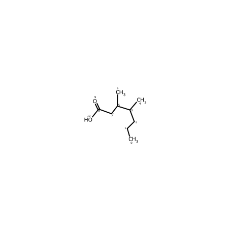 CCCC(C)C(C)[CH]C(=O)O